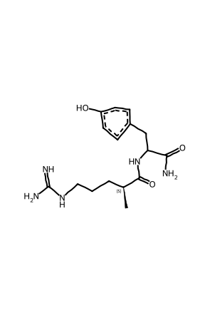 C[C@@H](CCCNC(=N)N)C(=O)NC(Cc1ccc(O)cc1)C(N)=O